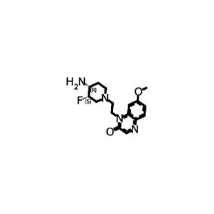 COc1ccc2ncc(=O)n(CCN3CC[C@@H](N)[C@@H](F)C3)c2c1